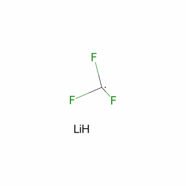 F[C](F)F.[LiH]